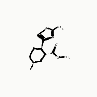 COC(=O)[C@@H]1C[C@@H](F)CC[C@H]1c1csc(C)n1